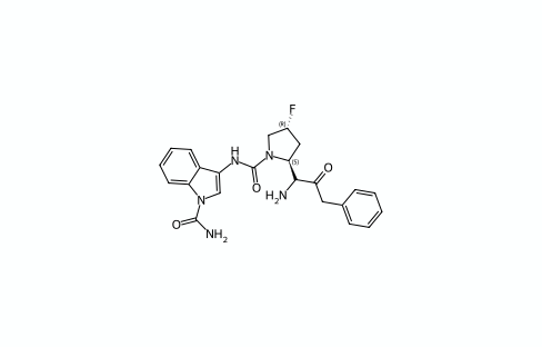 NC(=O)n1cc(NC(=O)N2C[C@H](F)C[C@H]2C(N)C(=O)Cc2ccccc2)c2ccccc21